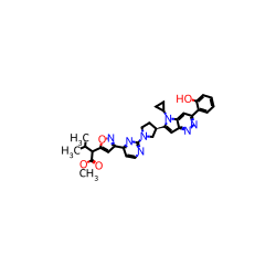 COC(=O)C(c1cc(-c2ccnc(N3CC[C@@H](c4cc5nnc(-c6ccccc6O)cc5n4C4CC4)C3)n2)no1)C(C)C